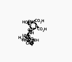 C[C@H](NC(=O)CNC(=O)CN1CCN(CC(=O)O)CCN(CC(=O)O)CCN(CC(O)O)CC1)C(=O)N[C@H](C)C(=O)N1CCC[C@H]1B(O)O